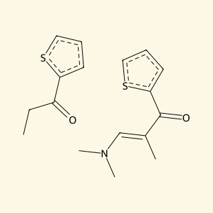 CC(=CN(C)C)C(=O)c1cccs1.CCC(=O)c1cccs1